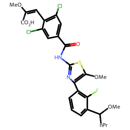 CCCC(OC)c1cccc(-c2nc(NC(=O)c3cc(Cl)c(C=C(OC)C(=O)O)c(Cl)c3)sc2OC)c1F